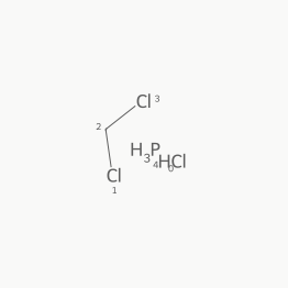 Cl.ClCCl.P